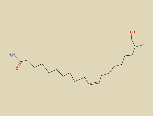 CC(CO)CCCCCC/C=C\CCCCCCCCCC(N)=O